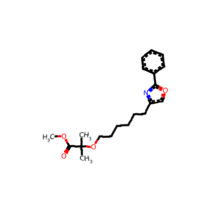 COC(=O)C(C)(C)OCCCCCCc1coc(-c2ccccc2)n1